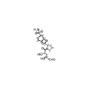 CCCCC(CN(O)C=O)C(=O)N1CCCC1c1nc2cc(S(N)(=O)=O)ccc2o1